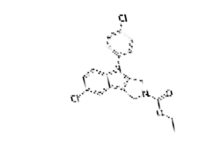 CCOC(=O)N1Cc2c(n(-c3ccc(Cl)cc3)c3ccc(Cl)cc23)C1